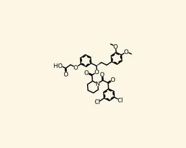 COc1ccc(CC[C@@H](OC(=O)C2CCCCN2C(=O)C(=O)c2cc(Cl)cc(Cl)c2)c2cccc(OCC(=O)O)c2)cc1OC